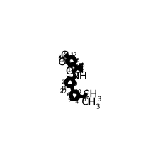 CC(C)c1cccc(-c2cc(NC(=O)C3(c4ccc5c(c4)OCO5)CC3)ccc2F)c1